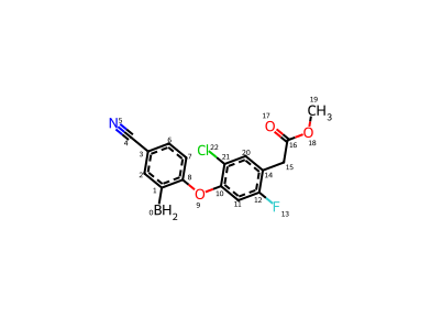 Bc1cc(C#N)ccc1Oc1cc(F)c(CC(=O)OC)cc1Cl